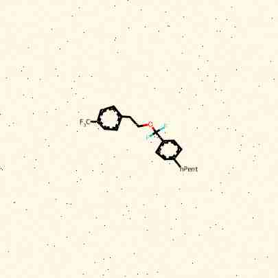 CCCCCc1ccc(C(F)(F)OCCc2ccc(C(F)(F)F)cc2)cc1